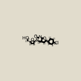 O=c1nc2oc(-c3ccc(Cl)cc3)cc2cn1[C@H]1CC[C@@H](CO)O1